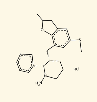 CSc1cc2c(c(C[C@@H]3CCCN(N)[C@@H]3c3ccccc3)c1)OC(C)C2.Cl